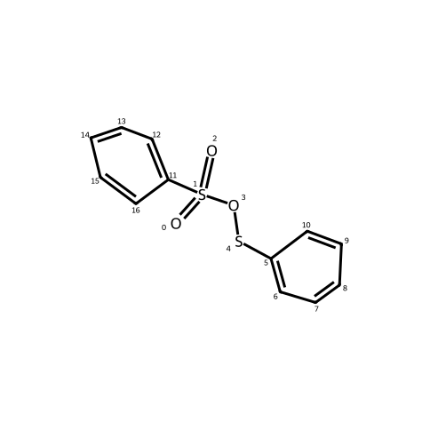 O=S(=O)(OSc1ccccc1)c1ccccc1